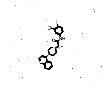 C[C@@H](C(=O)Nc1ccc(F)c(Cl)c1)[C@H]1CC[C@H](c2ccnc3ccccc32)CC1